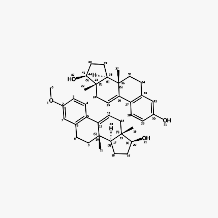 COc1ccc2c(c1)CC[C@]1(C)C2=CC[C@@]2(C)[C@H]1CC[C@@H]2O.C[C@]12CC=C3c4ccc(O)cc4CC[C@@]3(C)[C@@H]1CC[C@@H]2O